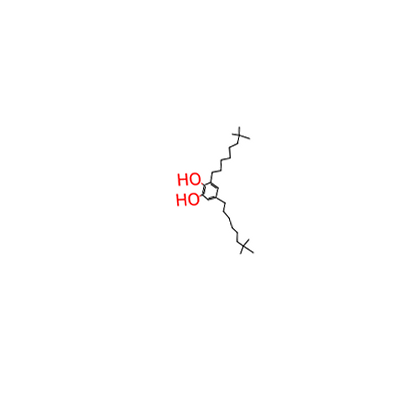 CC(C)(C)CCCCCCc1cc(O)c(O)c(CCCCCCC(C)(C)C)c1